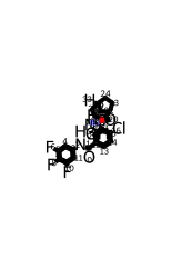 O=C(Nc1cc(F)c(F)c(F)c1)c1ccc(Cl)c(S(=O)(=O)[C@H]2C3CC[C@H]2C/C(=N/O)C3)c1